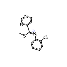 CS/C(=N\c1ccccc1Cl)c1ccncn1